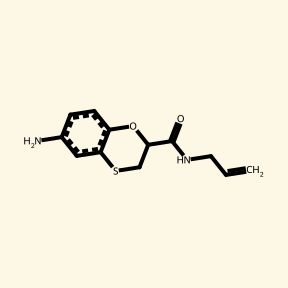 C=CCNC(=O)C1CSc2cc(N)ccc2O1